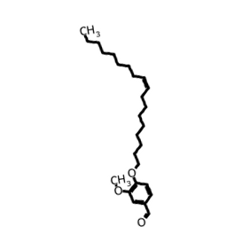 CCCCCCCC/C=C\CCCCCCCCOc1ccc(C=O)cc1OC